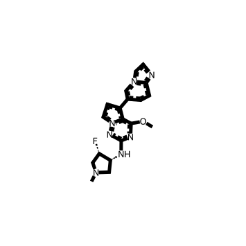 COc1nc(N[C@@H]2CN(C)C[C@@H]2F)nn2ccc(-c3ccc4nccn4c3)c12